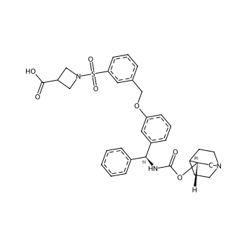 O=C(N[C@@H](c1ccccc1)c1cccc(OCc2cccc(S(=O)(=O)N3CC(C(=O)O)C3)c2)c1)O[C@H]1CN2CCC1CC2